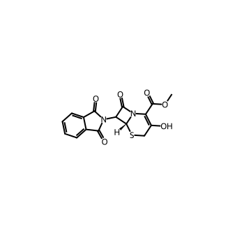 COC(=O)C1=C(O)CS[C@@H]2C(N3C(=O)c4ccccc4C3=O)C(=O)N12